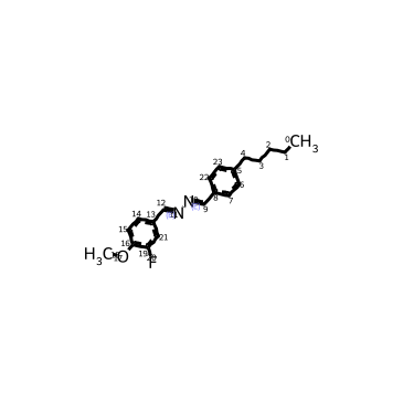 CCCCCc1ccc(/C=N/N=C/c2ccc(OC)c(F)c2)cc1